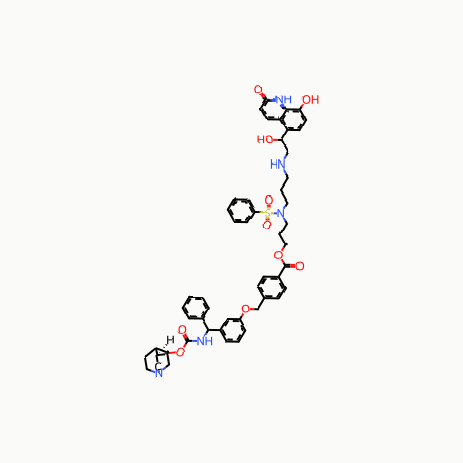 O=C(NC(c1ccccc1)c1cccc(OCc2ccc(C(=O)OCCCN(CCCNCC(O)c3ccc(O)c4[nH]c(=O)ccc34)S(=O)(=O)c3ccccc3)cc2)c1)O[C@H]1CN2CCC1CC2